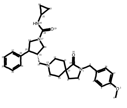 COc1ccc(CN2CCC3(CCN(C[C@H]4CN(C(=O)NC5CC5)CC4c4ccccc4)CC3)C2=O)cc1